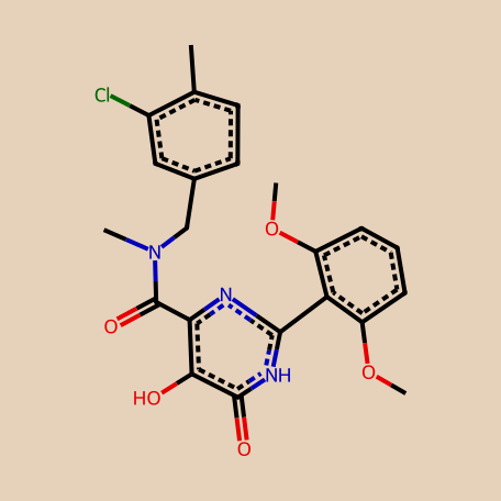 COc1cccc(OC)c1-c1nc(C(=O)N(C)Cc2ccc(C)c(Cl)c2)c(O)c(=O)[nH]1